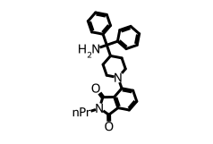 CCCN1C(=O)c2cccc(N3CCC(C(N)(c4ccccc4)c4ccccc4)CC3)c2C1=O